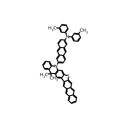 Cc1cccc(N(c2cccc(C)c2)c2ccc3cc4cc(N5c6ccccc6C(C)(C)c6cc7c(cc65)sc5cc6cc8ccccc8cc6cc57)ccc4cc3c2)c1